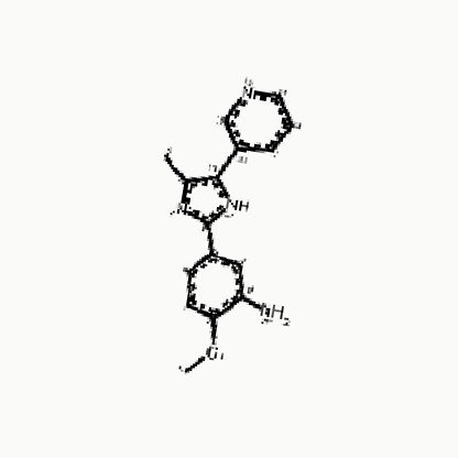 COc1ccc(-c2nc(C)c(-c3cccnc3)[nH]2)cc1N